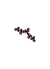 c1ccc(-n2c3ccccc3c3c(-c4cccc5c4c4ccccc4n5-c4ccc(-c5nc(-c6ccc(-n7c8ccccc8c8c(-c9cccc%10c9c9ccccc9n%10-c9ccccc9)cccc87)cc6)c6ccc7ccccc7c6n5)cc4)cccc32)cc1